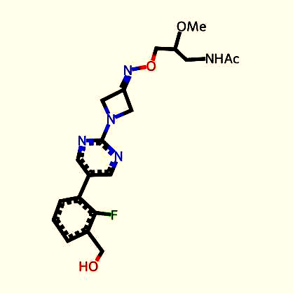 COC(CNC(C)=O)CON=C1CN(c2ncc(-c3cccc(CO)c3F)cn2)C1